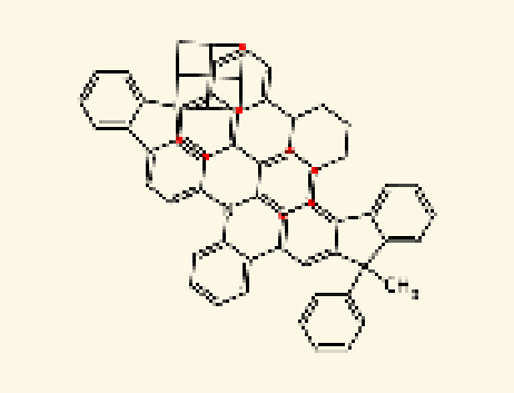 CC1(c2ccccc2)c2ccccc2-c2ccc(-c3ccccc3N(c3ccc4c(c3)C3(c5ccccc5-4)C4CC5CC6CC3C564)c3ccccc3-c3cccc4cccc(C5CCCCC5)c34)cc21